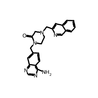 Nc1ncnc2cc(CN3CCN(Cc4cc5ccccc5cn4)CC3=O)ccc12